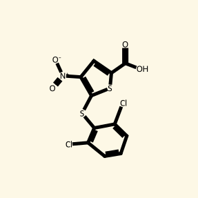 O=C(O)c1cc([N+](=O)[O-])c(Sc2c(Cl)cccc2Cl)s1